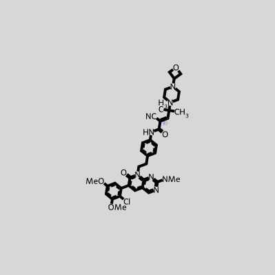 CNc1ncc2cc(-c3cc(OC)cc(OC)c3Cl)c(=O)n(CCc3ccc(NC(=O)/C(C#N)=C/C(C)(C)N4CCN(C5COC5)CC4)cc3)c2n1